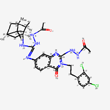 CC(=O)NNC(=Nc1ccc2c(=O)n(CCc3ccc(Cl)cc3Cl)c(NNC(C)=O)nc2c1)N[C@H]1C[C@H]2C[C@H]([C@H]1C)C2(C)C